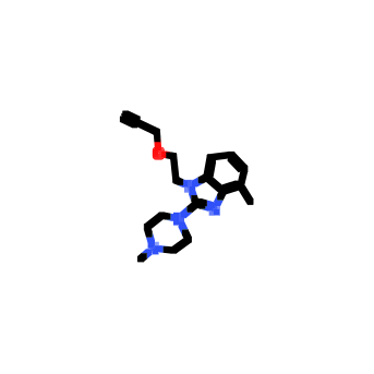 C#CCOCCn1c(N2CCN(C)CC2)nc2c(C)cccc21